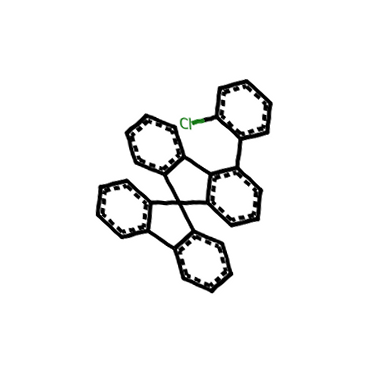 Clc1ccccc1-c1cccc2c1-c1ccccc1C21c2ccccc2-c2ccccc21